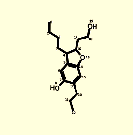 CCCCC1c2cc(O)c(CCC)cc2OC1CCO